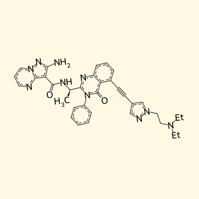 CCN(CC)CCn1cc(C#Cc2cccc3nc([C@@H](C)NC(=O)c4c(N)nn5cccnc45)n(-c4ccccc4)c(=O)c23)cn1